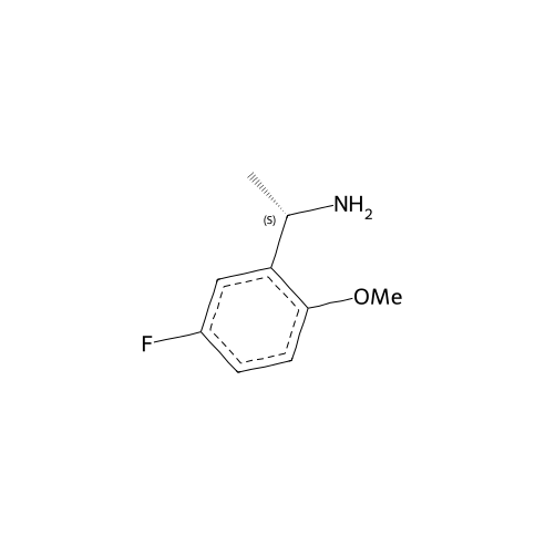 COc1ccc(F)cc1[C@H](C)N